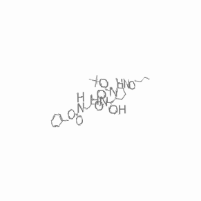 CCCCON[C@@H]1CC[C@@H](C(O)NOCCNC(=O)OCc2ccccc2)N(C(=O)OC(C)(C)C)C1